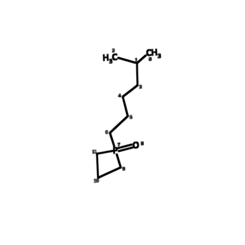 CC(C)CCCCP1(=O)CCC1